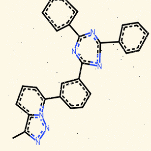 Cc1nnn2c(-c3cccc(-c4nc(-c5ccccc5)nc(-c5ccccc5)n4)c3)cccc12